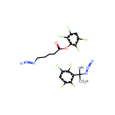 CCCC(N=[N+]=[N-])(C(=O)O)c1c(F)c(F)cc(F)c1F.[N-]=[N+]=NCCCCC(=O)Oc1c(F)c(F)cc(F)c1F